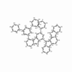 c1ccc(-c2cc(-n3c4ccccc4c4ccc5c6ccccc6sc5c43)c3oc4cccc(-c5nc(-c6ccccc6)nc(-c6ccccc6)n5)c4c3c2)cc1